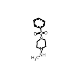 CNN1CCN(S(=O)(=O)c2ccccc2)CC1